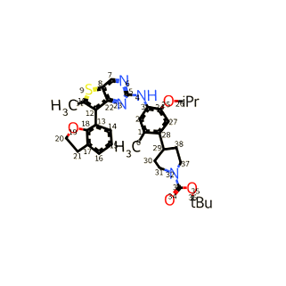 Cc1cc(Nc2ncc3sc(C)c(-c4cccc5c4OCC5)c3n2)c(OC(C)C)cc1C1CCN(C(=O)OC(C)(C)C)CC1